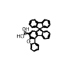 OB(O)c1cc2c(c3c1oc1ccccc13)-c1ccccc1C21c2ccccc2-c2ccccc21